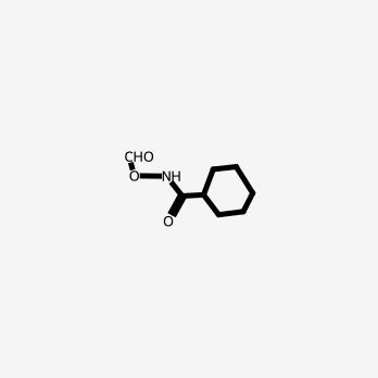 O=CONC(=O)C1CCCCC1